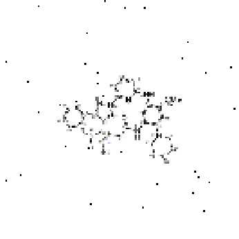 CC/C=C\CC(=O)Nc1cc(Nc2nccc(-n3cc(CN(C)C)c(-c4ccccc4)n3)n2)c(OC)cc1N1CCOCC1